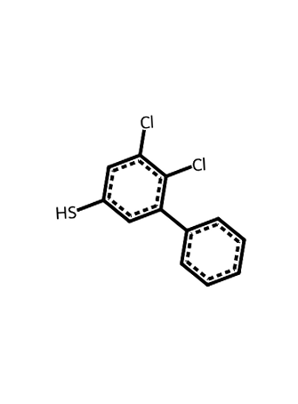 Sc1cc(Cl)c(Cl)c(-c2ccccc2)c1